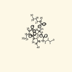 CCCCC(C)C(=O)OCC(COC(=O)C(C)CCCC)(COC(=O)C(C)CCCC)COC(=O)C(C)CCCC